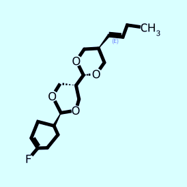 CC/C=C/[C@H]1CO[C@H]([C@H]2CO[C@H](C3CC=C(F)CC3)OC2)OC1